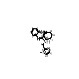 c1ccc2c(c1)N=C(NCc1ncc[nH]1)C1(CCCCC1)N2